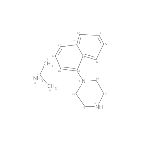 CCC.N.c1ccc2c(N3CCNCC3)cccc2c1